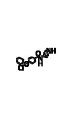 O=C(NC1CC2CC1CN2)c1ccc(Oc2ccccc2Cl)cc1